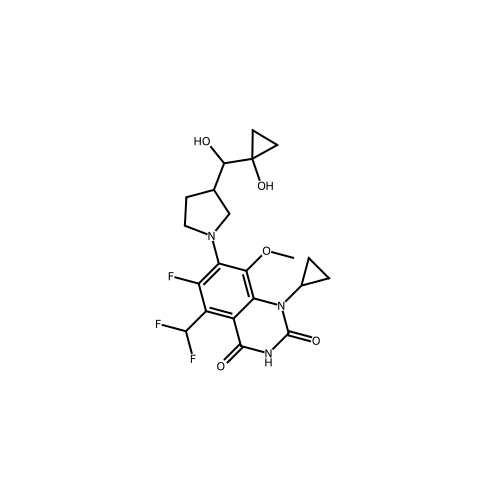 COc1c(N2CCC(C(O)C3(O)CC3)C2)c(F)c(C(F)F)c2c(=O)[nH]c(=O)n(C3CC3)c12